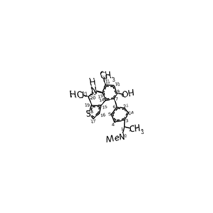 CNC(C)c1ccc(-c2c(O)cc(C)c3c2-c2ccsc2[C@@H](O)N3)cc1